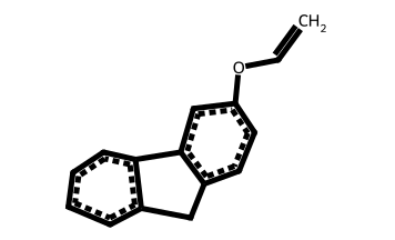 C=COc1ccc2c(c1)-c1ccccc1C2